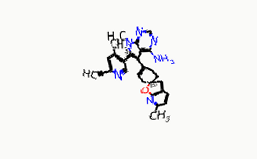 C#Cc1cc(C)c(-c2c(C3=CC[C@@]4(CC3)Cc3ccc(C)nc3O4)c3c(N)ncnc3n2C)cn1